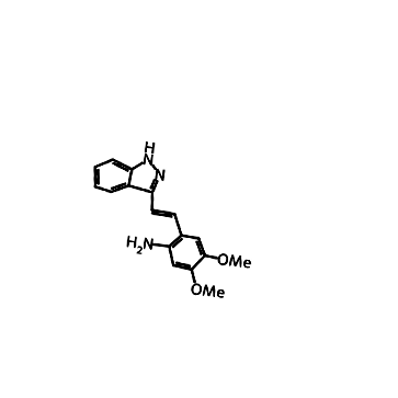 COc1cc(N)c(C=Cc2n[nH]c3ccccc23)cc1OC